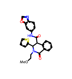 COCCN1C(=O)c2ccccc2C(C(=O)Nc2ccc3ncoc3c2)C1c1cccs1